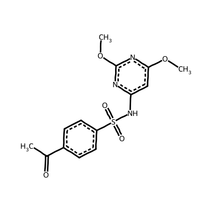 COc1cc(NS(=O)(=O)c2ccc(C(C)=O)cc2)nc(OC)n1